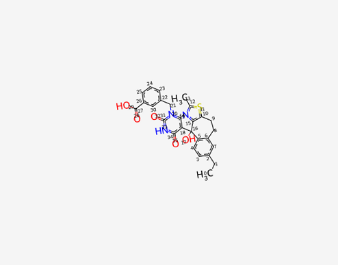 CCc1ccc2c(c1)CCc1sc(C)nc1C2(O)c1cn(Cc2cccc(C(=O)O)c2)c(=O)[nH]c1=O